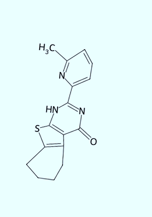 Cc1cccc(-c2nc(=O)c3c4c(sc3[nH]2)CCCC4)n1